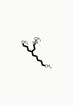 CCCCCCC(CCCC)CCNC